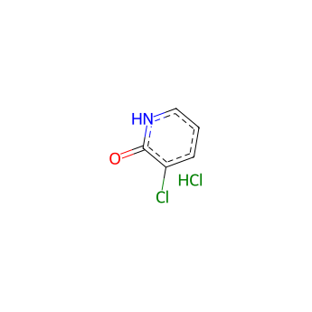 Cl.O=c1[nH]cccc1Cl